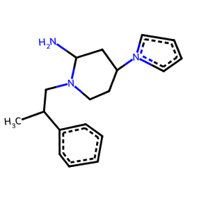 CC(CN1CCC(n2cccc2)CC1N)c1ccccc1